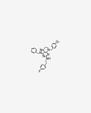 COc1ccc(CN2CCc3nn(Cc4ccccc4)c4nc(NCCc5ccc(F)cc5)nc2c34)cc1